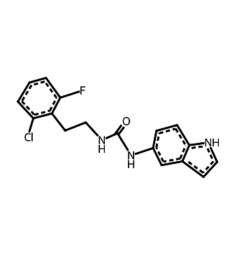 O=C(NCCc1c(F)cccc1Cl)Nc1ccc2[nH]ccc2c1